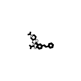 CC(C)c1nc2ccc(C=Cc3ccccc3)cc2c(=O)n1C[C@H]1CCCN(C(C)C)C1